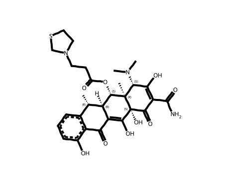 C[C@H]1c2cccc(O)c2C(=O)C2=C(O)[C@]3(O)C(=O)C(C(N)=O)=C(O)[C@@H](N(C)C)[C@]3(C)[C@@H](OC(=O)CCN3CCSC3)[C@@H]21